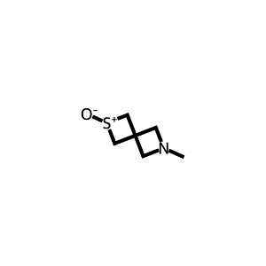 CN1CC2(C1)C[S+]([O-])C2